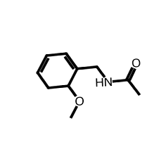 COC1CC=CC=C1CNC(C)=O